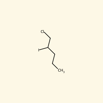 CCCC(I)CCl